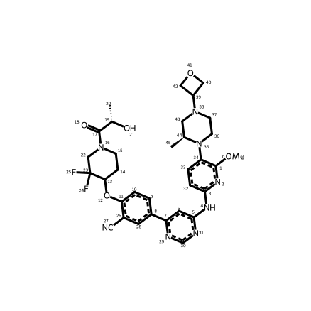 COc1nc(Nc2cc(-c3ccc(OC4CCN(C(=O)[C@H](C)O)CC4(F)F)c(C#N)c3)ncn2)ccc1N1CCN(C2COC2)C[C@@H]1C